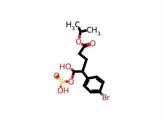 CC(C)OC(=O)CCC(c1ccc(Br)cc1)C(O)OS(=O)O